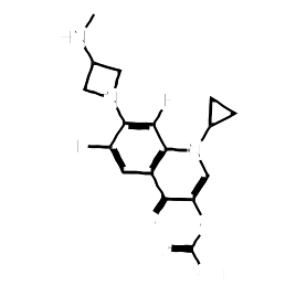 CNC1CN(c2c(F)cc3c(=O)c(OC(=O)O)cn(C4CC4)c3c2F)C1